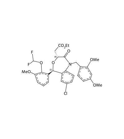 CCOC(=O)C[C@H]1O[C@H](c2cccc(OC)c2OC(F)F)c2cc(Cl)ccc2N(Cc2ccc(OC)cc2OC)C1=O